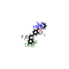 CN(NC(=O)c1ccc(/C(F)=C/[C@H](c2cc(Cl)c(Cl)c(Cl)c2)C(F)(F)F)cc1C(F)(F)F)c1ncccn1